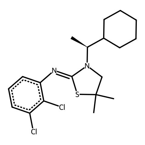 C[C@@H](C1CCCCC1)N1CC(C)(C)SC1=Nc1cccc(Cl)c1Cl